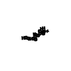 COc1cc2c(Oc3ccc(NC(=O)NCCC(C)(C)C)c(Cl)c3)ccnc2cc1OCCN1CCC(O)CC1